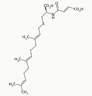 CC(C)=CCC/C(C)=C/CC/C(C)=C/CSC[C@H](NC(=O)C=CC(=O)O)C(=O)O